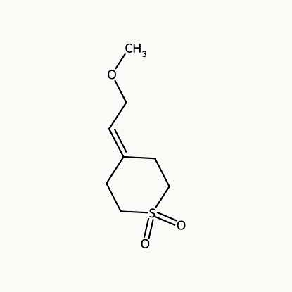 COCC=C1CCS(=O)(=O)CC1